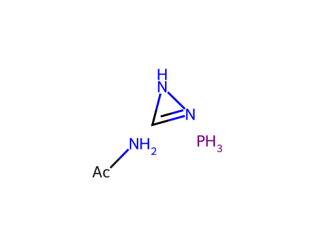 C1=NN1.CC(N)=O.P